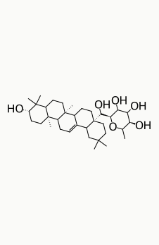 CC1O[C@@H](C(O)[C@@]23CCC4C(=CCC5[C@@]4(C)CCC4C(C)(C)[C@@H](O)CC[C@@]45C)C2CC(C)(C)CC3)C(O)C(O)[C@H]1O